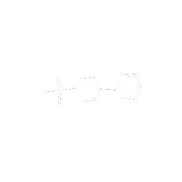 NS(=O)(=O)c1ccc(-c2ccccn2)nc1